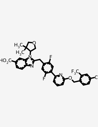 CC1(C)COCC1n1c(Cc2cc(F)c(-c3cccc(OCc4ccc(Cl)cc4C(F)(F)F)n3)cc2F)nc2ccc(C(=O)O)cc21